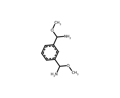 COC(N)c1[c]c(C(N)OC)ccc1